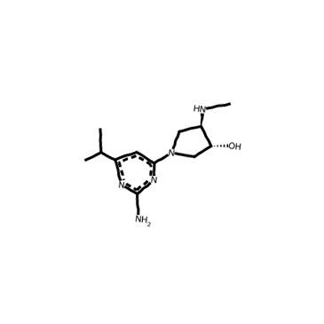 CN[C@@H]1CN(c2cc(C(C)C)nc(N)n2)C[C@H]1O